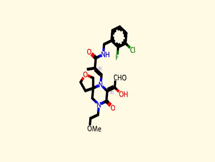 COCCN1CC2(CCOC2)N(/C=C(\C)C(=O)NCc2cccc(Cl)c2F)/C(=C(/O)C=O)C1=O